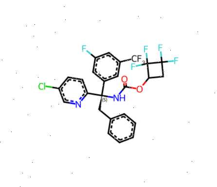 O=C(N[C@@](Cc1ccccc1)(c1cc(F)cc(C(F)(F)F)c1)c1ccc(Cl)cn1)OC1CC(F)(F)C1(F)F